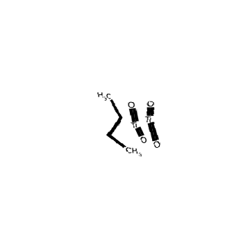 CCCC.[O]=[Ti]=[O].[O]=[Ti]=[O]